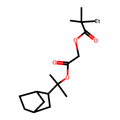 CCC(C)(C)C(=O)OCC(=O)OC(C)(C)C1CC2CCC1C2